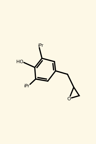 CC(C)c1cc(CC2CO2)cc(C(C)C)c1O